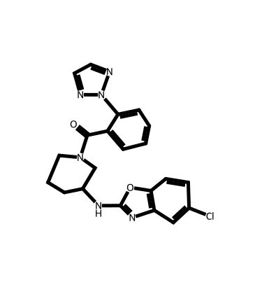 O=C(c1ccccc1-n1nccn1)N1CCCC(Nc2nc3cc(Cl)ccc3o2)C1